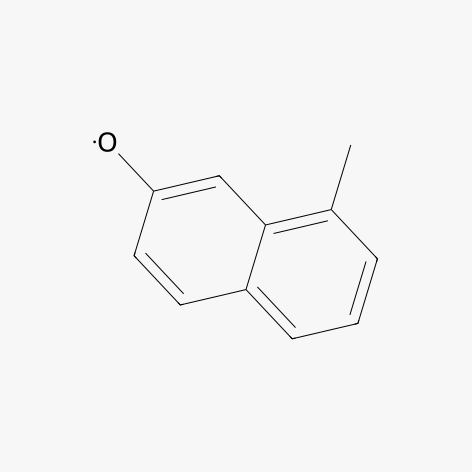 Cc1cccc2ccc([O])cc12